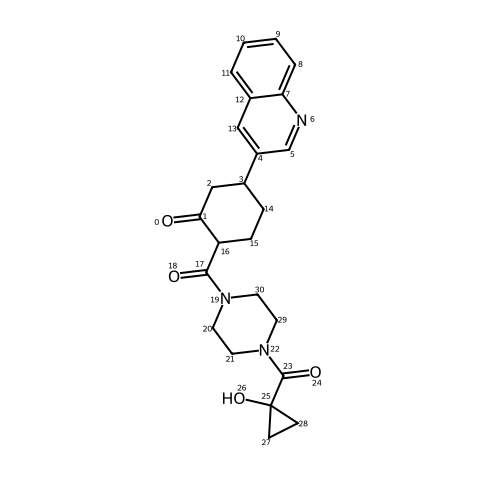 O=C1CC(c2cnc3ccccc3c2)CCC1C(=O)N1CCN(C(=O)C2(O)CC2)CC1